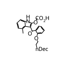 CCCCCCCCCCCCOc1ccccc1C(=O)c1c(OC(=O)O)[nH]c2cccc(C)c12